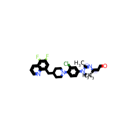 CC(=C/C=O)/N=C(/C)N(C)c1ccc(N2CCC(Cc3cc(F)c(F)c4cccnc34)CC2)c(Cl)c1